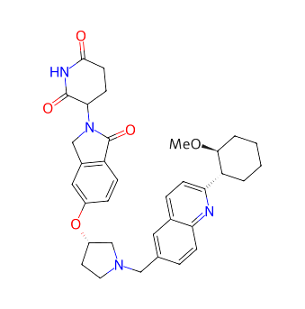 CO[C@H]1CCCC[C@@H]1c1ccc2cc(CN3CC[C@H](Oc4ccc5c(c4)CN(C4CCC(=O)NC4=O)C5=O)C3)ccc2n1